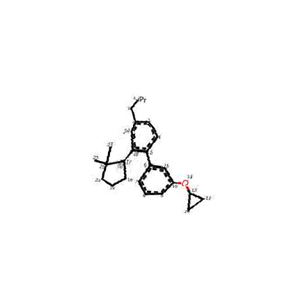 CC(C)Cc1ccc(-c2cccc(OC3CC3)c2)c([C@H]2CCCC2(C)C)c1